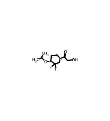 CC(C)O[C@H]1CCN(C(=O)CO)CC1(F)F